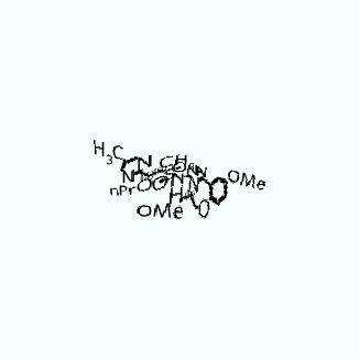 CCCO[C@@H](c1ncc(C)cn1)[C@H](C)S(=O)(=O)Nc1nnc2n1[C@H](COC)COc1ccc(OC)cc1-2